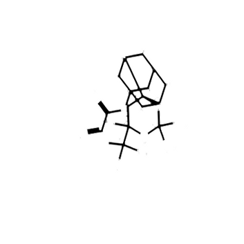 C=CC(=O)OC12CC3CC(C1)C1(CC(O)(C(F)(F)F)OC(C)(C)O1)C(C3)C2